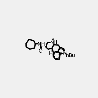 CCCCn1cc2c3c(cccc31)[C@H]1C[C@@H](C(=O)NC3CCCCCC3)CN(C)[C@@H]1C2